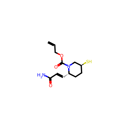 C=CCOC(=O)N1C[C@@H](S)CC[C@@H]1C=CC(N)=O